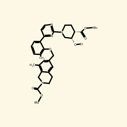 CCO[C@@H]1CN(c2nccc(-c3cccc(C)c3OCc3cc(C)c4c(c3)CCN(C(=O)OC(C)(C)C)C4)n2)CC[C@@H]1C(=O)OC(C)(C)C